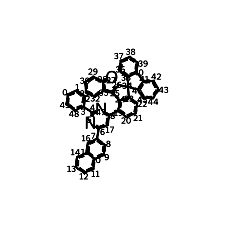 c1ccc(-c2nc(-c3ccc4ccccc4c3)cc(-c3cccc4c3-c3c(oc5ccccc35)C43c4ccccc4-c4ccccc43)n2)cc1